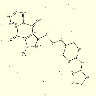 O=c1c2n(S)[nH]n(CCCN3CCN(CC4CCCO4)CC3)c=2c(=O)c2ccccc12